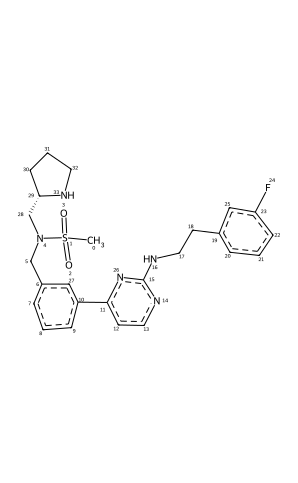 CS(=O)(=O)N(Cc1cccc(-c2ccnc(NCCc3cccc(F)c3)n2)c1)C[C@@H]1CCCN1